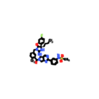 CS(=O)(=O)Nc1cccc(-c2ncc3c(n2)CN(C(=O)c2cc(CN4C(=N)N[C@](CCCC(F)(F)F)(c5ccc(F)cc5)C4=O)ccc2C(F)(F)F)C3)c1